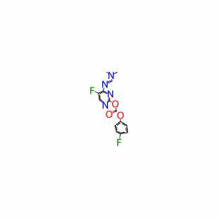 CN(C)/C=N/c1nc(OC(=O)Oc2ccc(F)cc2)ncc1F